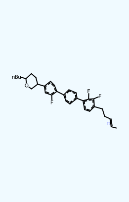 C/C=C/CCc1ccc(-c2ccc(-c3ccc(C4CCC(CCCC)OC4)cc3F)cc2)c(F)c1F